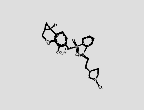 CCN1CC[C@H](CCNc2ccccc2S(=O)(=O)Nc2ccc3c(c2C(=O)O)OCC2C[C@H]32)C1